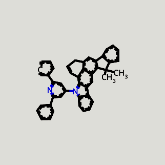 CC1(C)c2ccccc2-c2cc3c4c(c5c(cc4c21)c1ccccc1n5-c1cc(-c2ccccc2)nc(-c2ccccc2)c1)C=CC3